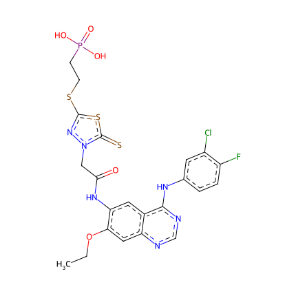 CCOc1cc2ncnc(Nc3ccc(F)c(Cl)c3)c2cc1NC(=O)Cn1nc(SCCP(=O)(O)O)sc1=S